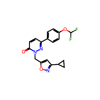 O=c1ccc(-c2ccc(OC(F)F)cc2)nn1Cc1cc(C2CC2)no1